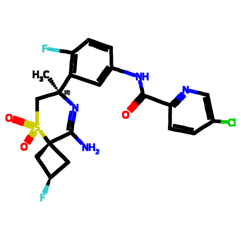 C[C@@]1(c2cc(NC(=O)c3ccc(Cl)cn3)ccc2F)CS(=O)(=O)[C@]2(C[C@H](F)C2)C(N)=N1